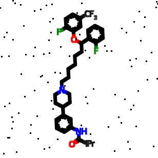 CC(C)C(=O)Nc1cccc(C2CCN(CCCCCCC(Oc3cc(C(F)(F)F)ccc3F)c3ccccc3F)CC2)c1